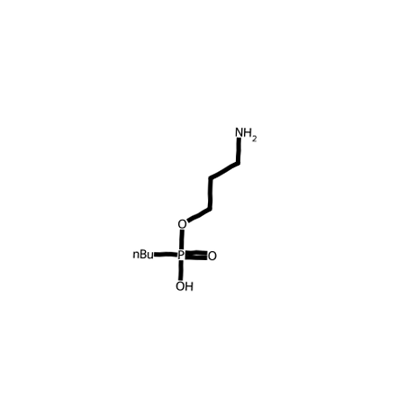 CCCCP(=O)(O)OCCCN